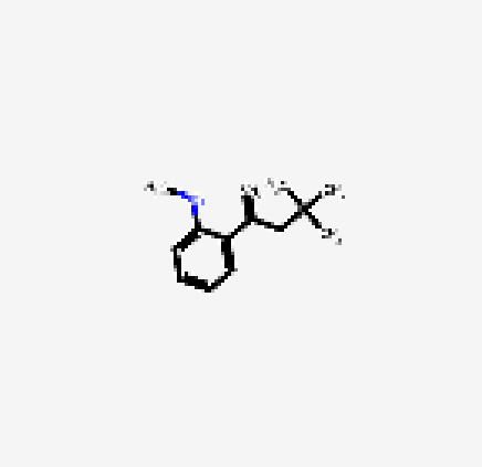 C=C(CC(C)(C)C)c1ccccc1NC